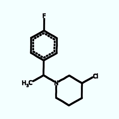 CC(c1ccc(F)cc1)N1CCCC(Cl)C1